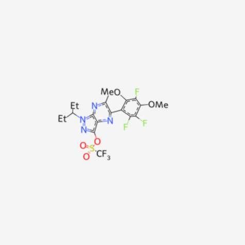 CCC(CC)n1nc(OS(=O)(=O)C(F)(F)F)c2nc(-c3c(F)c(F)c(OC)c(F)c3OC)c(C)nc21